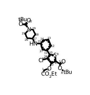 CCOC(=O)COc1c(C(=O)OC(C)(C)C)sc(-c2cccc(NC3CCN(C(=O)OC(C)(C)C)CC3)c2)c1Cl